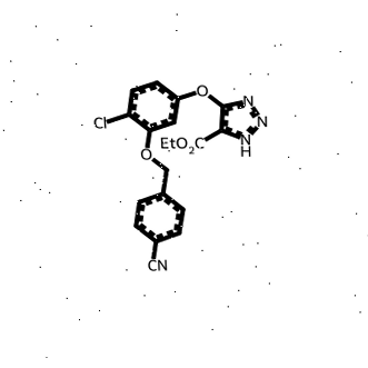 CCOC(=O)c1[nH]nnc1Oc1ccc(Cl)c(OCc2ccc(C#N)cc2)c1